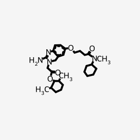 CC1CCCC(C)C1OC(=O)CN1Cc2cc(OCCCC(=O)N(C)C3CCCCC3)ccc2N=C1N